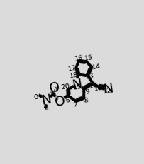 CN(C)C(=O)Oc1ccc2c(C#N)c3ccccc3n2c1